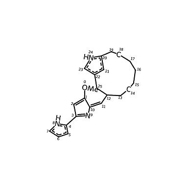 COC1=CC(c2ccc[nH]2)=NC1=CC1CCCCCCCc2cc(c[nH]2)C1